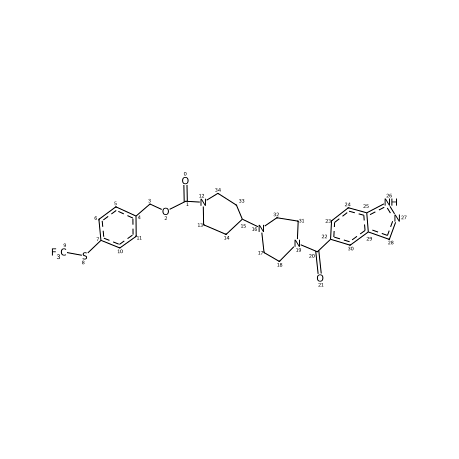 O=C(OCc1ccc(SC(F)(F)F)cc1)N1CCC(N2CCN(C(=O)c3ccc4[nH]ncc4c3)CC2)CC1